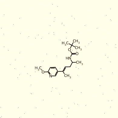 COc1ccc(C(C)=CCC(C)NC(=O)OC(C)(C)C)cn1